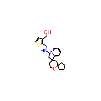 OCc1ccsc1CNCCC1(c2ccccn2)CCOC2(CCCC2)C1